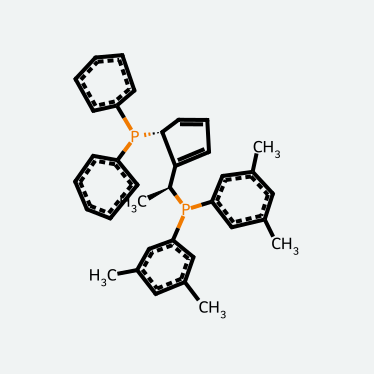 Cc1cc(C)cc(P(c2cc(C)cc(C)c2)[C@@H](C)C2=CC=C[C@H]2P(c2ccccc2)c2ccccc2)c1